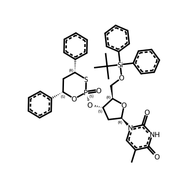 Cc1cn([C@H]2C[C@H](O[P@]3(=O)O[C@H](c4ccccc4)C[C@H](c4ccccc4)S3)[C@@H](CO[Si](c3ccccc3)(c3ccccc3)C(C)(C)C)O2)c(=O)[nH]c1=O